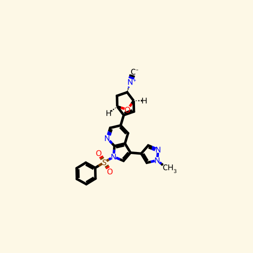 [C-]#[N+][C@H]1C[C@H]2O[C@@H]1C=C2c1cnc2c(c1)c(-c1cnn(C)c1)cn2S(=O)(=O)c1ccccc1